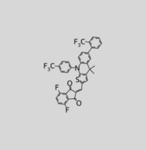 CC1(C)c2cc(-c3ccccc3C(F)(F)F)ccc2N(c2ccc(C(F)(F)F)cc2)c2sc(C=C3C(=O)c4c(F)ccc(F)c4C3=O)cc21